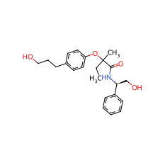 CCC(C)(Oc1ccc(CCCO)cc1)C(=O)N[C@@H](CO)c1ccccc1